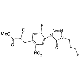 COC(=O)C(Cl)Cc1cc(F)c(-n2nnn(CCCF)c2=O)cc1[N+](=O)[O-]